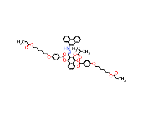 C=CC(=O)OCCCCCCOc1ccc(C(=O)Oc2c(/C=N/Nc3cc4ccccc4c4ccccc34)c(OC(=O)C(=C)C)c(OC(=O)c3ccc(OCCCCCCOC(=O)C=C)cc3)c3ccccc23)cc1